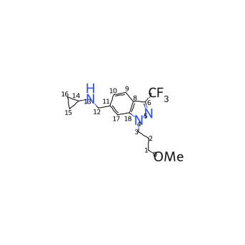 COCCCn1nc(C(F)(F)F)c2ccc(CNC3CC3)cc21